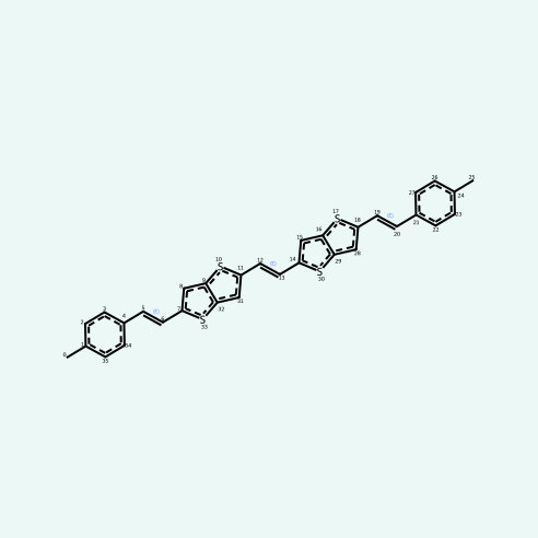 Cc1ccc(/C=C/c2cc3sc(/C=C/c4cc5sc(/C=C/c6ccc(C)cc6)cc5s4)cc3s2)cc1